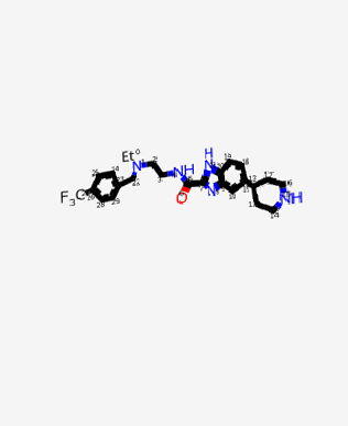 CCN(CCNC(=O)c1nc2cc(C3CCNCC3)ccc2[nH]1)Cc1ccc(C(F)(F)F)cc1